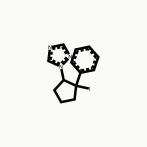 IC1(c2ccccc2)CCCC1n1cncn1